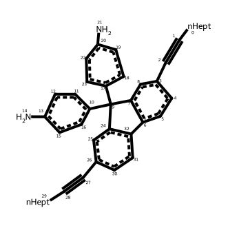 CCCCCCCC#Cc1ccc2c(c1)C(c1ccc(N)cc1)(c1ccc(N)cc1)c1cc(C#CCCCCCCC)ccc1-2